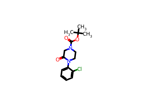 CC(C)(C)OC(=O)N1CCN(c2ccccc2Cl)C(=O)C1